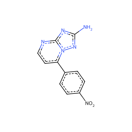 Nc1nc2nccc(-c3ccc([N+](=O)[O-])cc3)n2n1